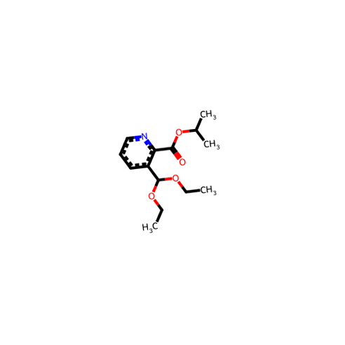 CCOC(OCC)c1cccnc1C(=O)OC(C)C